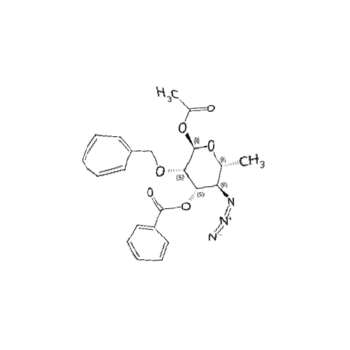 CC(=O)O[C@H]1O[C@H](C)[C@@H](N=[N+]=[N-])[C@H](OC(=O)c2ccccc2)[C@@H]1OCc1ccccc1